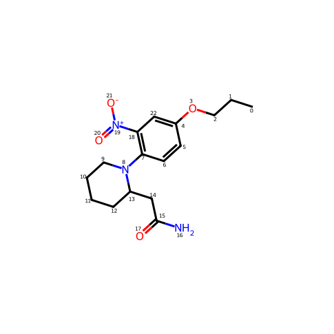 CCCOc1ccc(N2CCCCC2CC(N)=O)c([N+](=O)[O-])c1